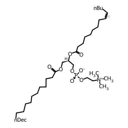 CCCC/C=C\CCCCCCCC(=O)O[C@H](COC(=O)CCCCCCCCCCCCCCCCCCCC)COP(=O)([O-])OCC[N+](C)(C)C